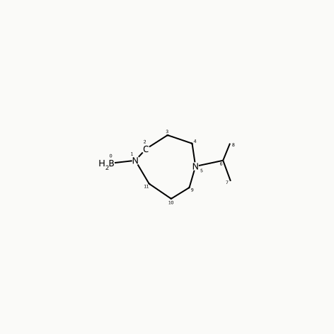 BN1CCCN(C(C)C)CCC1